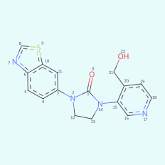 O=C1N(c2ccc3ncsc3c2)CCN1c1cnccc1CO